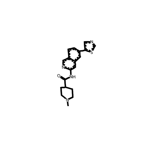 CN1CCC(C(=O)Nc2cc3cc(-c4cncs4)ccc3cn2)CC1